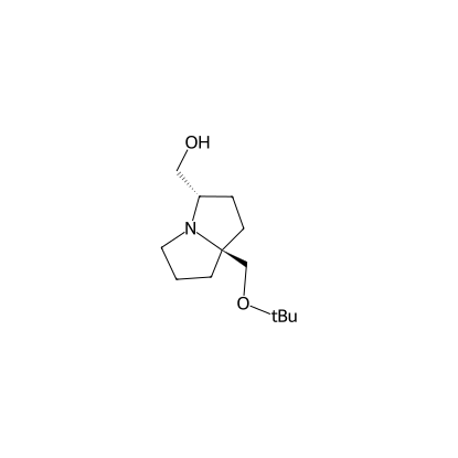 CC(C)(C)OC[C@@]12CCCN1[C@H](CO)CC2